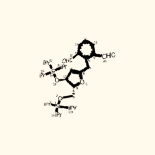 CC(C)[Si](OC[C@H]1OC(Cc2c(C=O)cccc2C=O)=C[C@@H]1O[Si](C(C)C)(C(C)C)C(C)C)(C(C)C)C(C)C